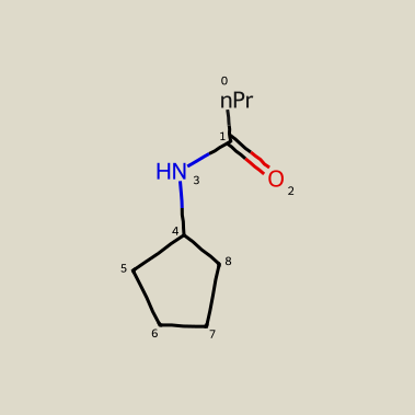 [CH2]CCC(=O)NC1CCCC1